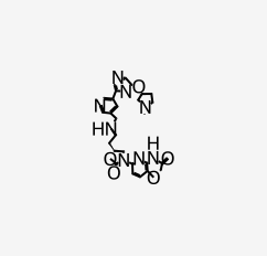 CN1CC[C@H](Oc2cncc(-c3cncc(CNCC[C@H]4CN(c5ccc6c(n5)NC(=O)CO6)C(=O)O4)c3)n2)C1